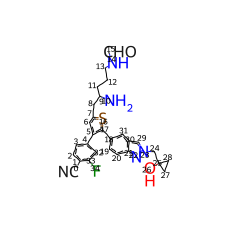 N#Cc1ccc(-c2cc(CC(N)CCCNC=O)sc2-c2ccc3nn(CC4(O)CC4)cc3c2)cc1F